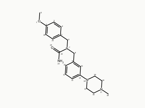 COc1ccc(CN(Cc2cccc(N3CCN(C)CC3)c2)C(N)=O)cc1